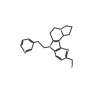 FCc1ccc2c(n1)c1c(n2CCc2cccnc2)CCN2CCCC12